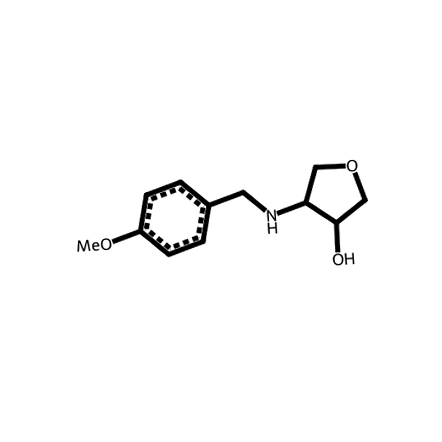 COc1ccc(CNC2COCC2O)cc1